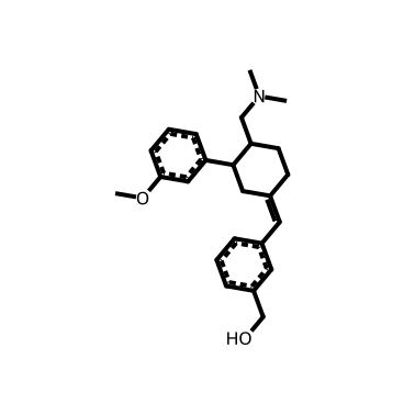 COc1cccc(C2CC(=Cc3cccc(CO)c3)CCC2CN(C)C)c1